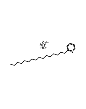 CCCCCCCCCCCCCCCCc1ccccn1.[OH-].[OH-].[Zn+2]